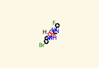 Cc1nc(-c2cccc(F)c2)ncc1OC(=O)Nn1ccc2cc(Br)ccc21